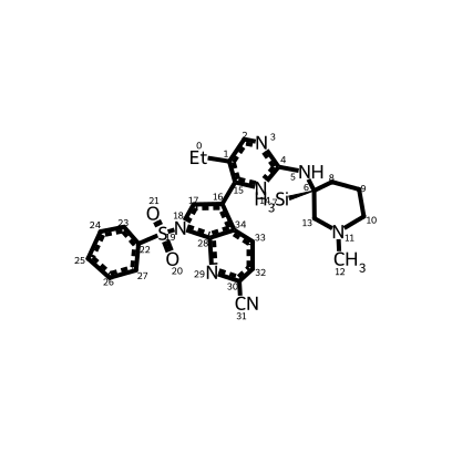 CCc1cnc(N[C@]2([SiH3])CCCN(C)C2)nc1-c1cn(S(=O)(=O)c2ccccc2)c2nc(C#N)ccc12